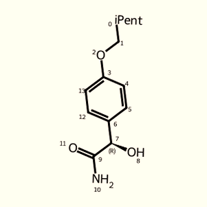 CCCC(C)COc1ccc([C@@H](O)C(N)=O)cc1